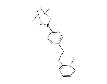 CC1(C)OB(c2ccc(COc3ccccc3F)cc2)OC1(C)C